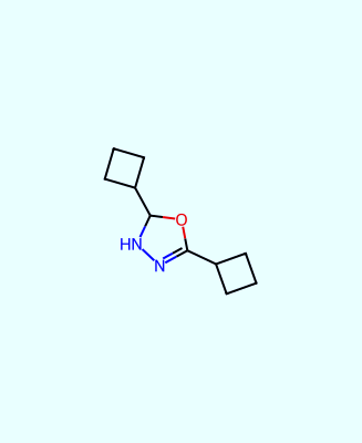 C1CC(C2=NNC(C3CCC3)O2)C1